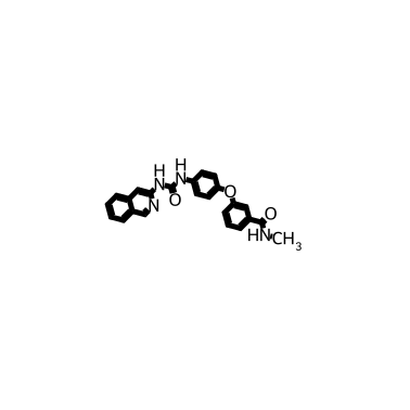 CNC(=O)c1cccc(Oc2ccc(NC(=O)Nc3cc4ccccc4cn3)cc2)c1